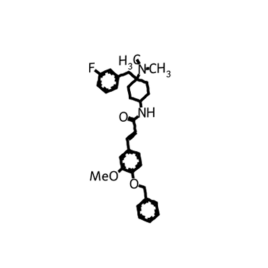 COc1cc(C=CC(=O)NC2CCC(Cc3cccc(F)c3)(N(C)C)CC2)ccc1OCc1ccccc1